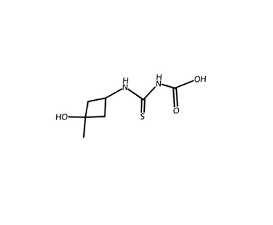 CC1(O)CC(NC(=S)NC(=O)O)C1